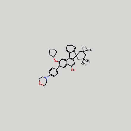 CC1(C)CC(C)(C)CC2(C1)c1ccccc1-c1c2cc(O)c2cc(-c3ccc(N4CCOCC4)cc3)c(OC3CCCC3)cc12